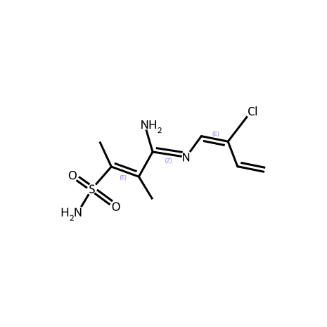 C=C\C(Cl)=C/N=C(N)/C(C)=C(\C)S(N)(=O)=O